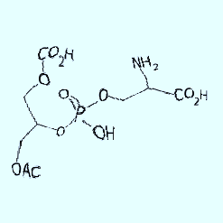 CC(=O)OCC(COC(=O)O)OP(=O)(O)OCC(N)C(=O)O